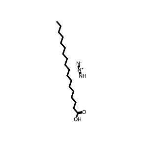 CCCCCCCCCCCCCCCCCC(=O)O.[N-]=[N+]=N